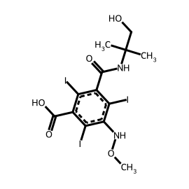 CONc1c(I)c(C(=O)O)c(I)c(C(=O)NC(C)(C)CO)c1I